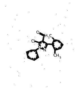 Cc1cccc(C)c1-c1nn(-c2ccccc2)c(Cl)c1C=O